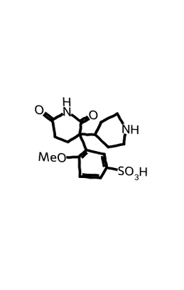 COc1ccc(S(=O)(=O)O)cc1C1(C2CCNCC2)CCC(=O)NC1=O